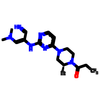 CC[C@@H]1CN(c2ccnc(N/C(C=N)=C/N(C)C)n2)CCN1C(=O)CC(F)(F)F